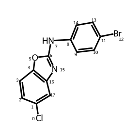 Clc1ccc2oc(Nc3ccc(Br)cc3)nc2c1